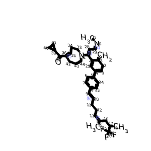 C=C1CC=C(c2ccc(/C=C/CC/C=C(/C)CC(C)C(F)(F)F)cc2)C=C1/C(=C\C=N/C)N1CC/C=C(\C(=O)C2CC2)CCC1